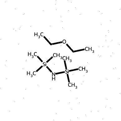 CCOCC.C[Si](C)(C)N[Si](C)(C)C